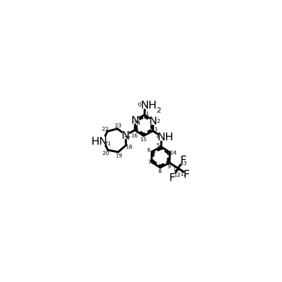 Nc1nc(Nc2cccc(C(F)(F)F)c2)cc(N2CCCNCC2)n1